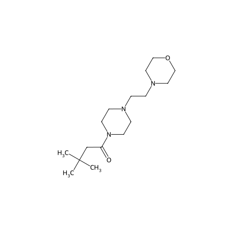 CC(C)(C)CC(=O)N1CCN(CCN2CCOCC2)CC1